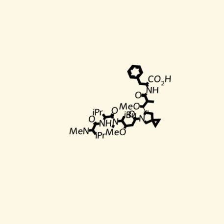 CCC(C)C(C(CC(=O)N1CC2(CC2)C[C@H]1C(OC)C(C)C(=O)NC(Cc1ccccc1)C(=O)O)OC)N(C)C(=O)C(NC(=O)C(NC)C(C)C)C(C)C